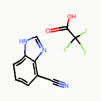 N#Cc1cccc2[nH]cnc12.O=C(O)C(F)(F)F